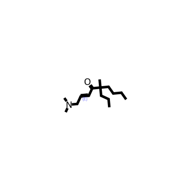 CCCCC(C)(CCC)C(=O)/C=C/CN(C)C